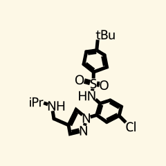 CC(C)NCc1cnn(-c2cc(Cl)ccc2NS(=O)(=O)c2ccc(C(C)(C)C)cc2)c1